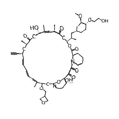 C#C[C@@H]1/C=C/C=C/C=C(\C)C(OCC2COC2)C[C@@H]2CC[C@@H](C)[C@@](O)(O2)C(=O)C(=O)N2CCCCC2C(=O)O[C@H]([C@H](C)C[C@@H]2CC[C@@H](OCCO)[C@H](OC)C2)CC(=O)[C@H](C)/C=C(\C)[C@@H](O)CC(=O)[C@H](C)C1